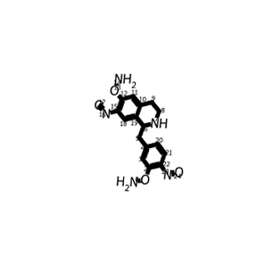 NOc1cc(CC2NCCc3cc(ON)c(N=O)cc32)ccc1N=O